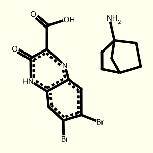 NC12CCC(CC1)C2.O=C(O)c1nc2cc(Br)c(Br)cc2[nH]c1=O